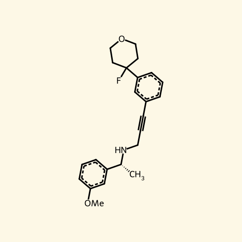 COc1cccc([C@@H](C)NCC#Cc2cccc(C3(F)CCOCC3)c2)c1